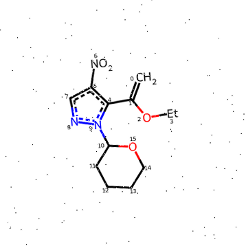 C=C(OCC)c1c([N+](=O)[O-])cnn1C1CCCCO1